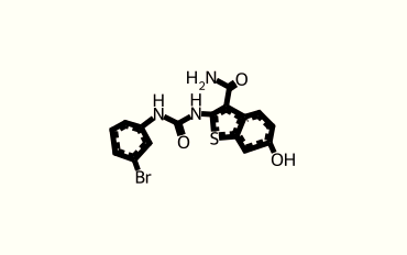 NC(=O)c1c(NC(=O)Nc2cccc(Br)c2)sc2cc(O)ccc12